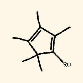 CC1=C(C)C(C)(C)[C]([Ru])=C1C